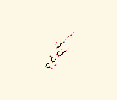 COC(=O)CO/N=C/C(O)C(O)[C@@H](CCO)O[C@@H]1OC(CO)[C@H](O)C(O[C@@H]2OC(CO)[C@@H](O[C@@H]3OC(CO)[C@H](O)C(O)C3O)C(O)C2NC(C)=O)C1O